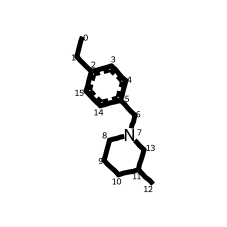 CCc1ccc(CN2CCCC(C)C2)cc1